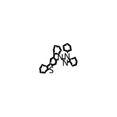 c1ccc(-n2c(-n3c4ccccc4c4cc5c(cc43)sc3ccccc35)nc3ccccc32)cc1